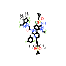 C[C@@H]1c2c(C(F)F)nn(CC(=O)N[C@@H](Cc3cc(F)cc(F)c3)c3nc(C#CC(C)(C)S(=O)(=O)C4CC4)ccc3-c3ccc(Cl)c4c(NS(=O)(=O)CC5CC5)nn(CC(F)F)c34)c2C(F)(F)[C@@H]1C